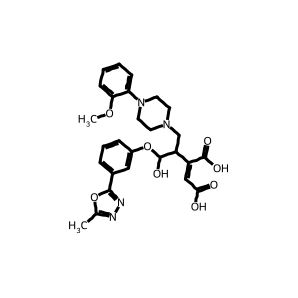 COc1ccccc1N1CCN(CC(/C(=C/C(=O)O)C(=O)O)C(O)Oc2cccc(-c3nnc(C)o3)c2)CC1